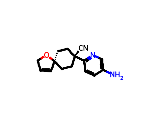 N#C[C@]1(c2ccc(N)cn2)CC[C@@]2(C=CCO2)CC1